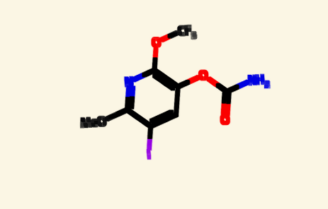 COc1nc(OC(F)(F)F)c(OC(N)=O)cc1I